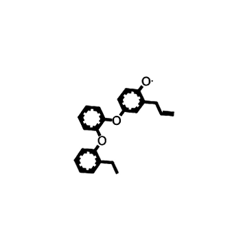 C=CCc1cc(Oc2ccccc2Oc2ccccc2CC)ccc1[O]